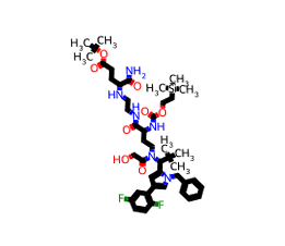 CC(C)(C)OC(=O)CCC(NCCNC(=O)C(CCN(C(=O)CO)C(c1cc(-c2cc(F)ccc2F)cn1Cc1ccccc1)C(C)(C)C)NC(=O)OCC[Si](C)(C)C)C(N)=O